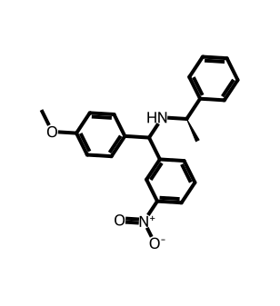 COc1ccc(C(N[C@H](C)c2ccccc2)c2cccc([N+](=O)[O-])c2)cc1